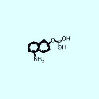 Nc1cccc2cc(OP(O)O)ccc12